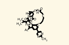 CC(=O)c1nn2c3c(cc(-c4cnc(C)nc4)cc13)CCCCCCC(=O)NC[C@@]13C[C@@H](C(=O)NCC(F)=C(C)C)N(C(=O)C2)[C@@H]1C3